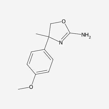 COc1ccc(C2(C)COC(N)=N2)cc1